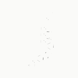 CC(O)CNc1ccc(S(=O)(=O)Oc2ccc3nc(NC(=O)NCCN4CCOCC4)[nH]c3c2)cc1